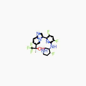 C[C@@](O)(c1ccc2ncc(-c3nc(N[C@@H]4CNCC[C@H]4F)c(F)cc3F)n2c1)C(F)(F)F